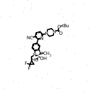 CN1c2cc(-c3nc(N4CCN(C(=O)OC(C)(C)C)CC4)ccc3C#N)ccc2N(CC2CC2(F)F)S1(O)O